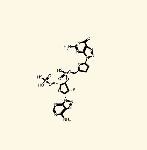 Nc1nc2c(nnn2[C@H]2CC[C@@H](COP(=O)(S)O[C@H]3[C@H](F)[C@H](n4nnc5c(N)ncnc54)O[C@@H]3COP(=O)(O)S)S2)c(=O)[nH]1